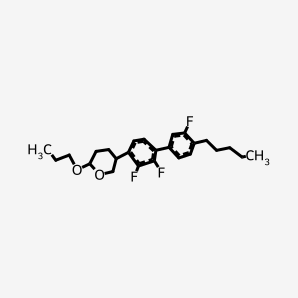 CCCCCc1ccc(-c2ccc(C3CCC(OCCC)OC3)c(F)c2F)cc1F